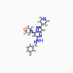 Cc1cccc(C=NNc2cc(N3CC4CC3CO4)n3nc(-c4ccncc4)cc3n2)c1